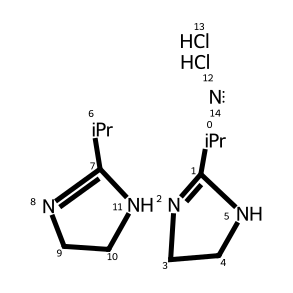 CC(C)C1=NCCN1.CC(C)C1=NCCN1.Cl.Cl.[N]